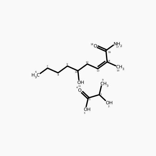 CC(O)C(=O)O.CCCCC(O)CC=C(C)C(N)=O